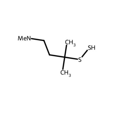 CNCCC(C)(C)SS